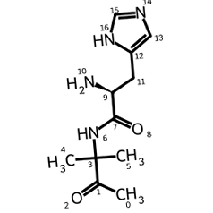 CC(=O)C(C)(C)NC(=O)[C@@H](N)Cc1cnc[nH]1